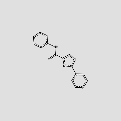 O=C(Nc1ccccc1)c1csc(-c2ccncc2)n1